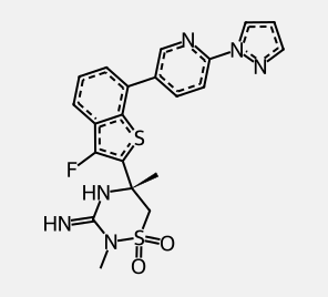 CN1C(=N)N[C@](C)(c2sc3c(-c4ccc(-n5cccn5)nc4)cccc3c2F)CS1(=O)=O